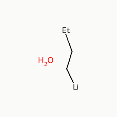 O.[Li][CH2]CCC